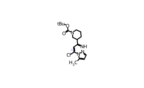 Cc1ccnn1/C(Cl)=C\C(=N)C1CCCN(C(=O)OC(C)(C)C)C1